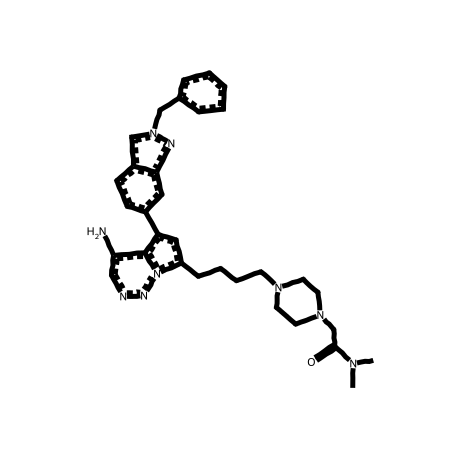 CN(C)C(=O)CN1CCN(CCCCc2cc(-c3ccc4cn(Cc5ccccc5)nc4c3)c3c(N)cnnn23)CC1